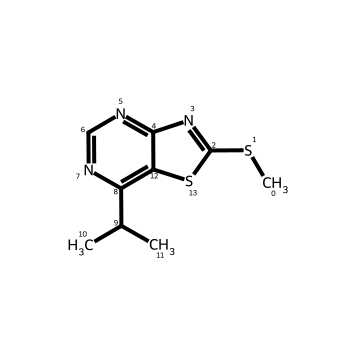 CSc1nc2ncnc(C(C)C)c2s1